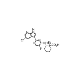 CCC1(C(=O)O)CCCC[C@@H]1Nc1nc(-c2c[nH]c3ncc(Cl)cc23)ncc1F